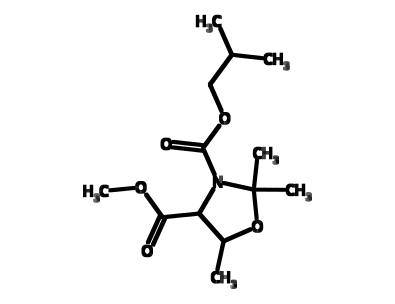 COC(=O)C1C(C)OC(C)(C)N1C(=O)OCC(C)C